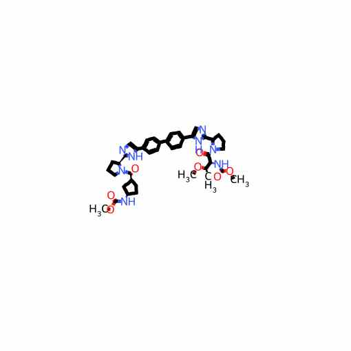 COC(=O)N[C@@H]1CC[C@H](C(=O)N2CCC[C@H]2c2ncc(-c3ccc(-c4ccc(-c5cnc(C6CCCN6C(=O)[C@@H](NC(=O)OC)[C@@H](C)OC)[nH]5)cc4)cc3)[nH]2)C1